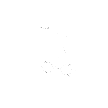 CC#CCOS(=O)OCCOc1ccc(C(C)(C)C)cc1-c1ccccc1